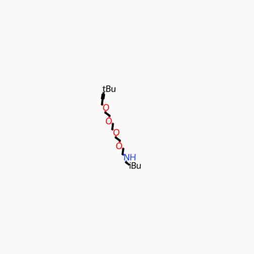 CCC(C)CNCCOCCOCCOCCOCC#CC(C)(C)C